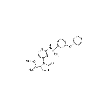 C[C@H](Nc1nccc(N2C(=O)OCC2[C@@H](C)OC(C)(C)C)n1)c1cccc(Oc2ccccc2)c1